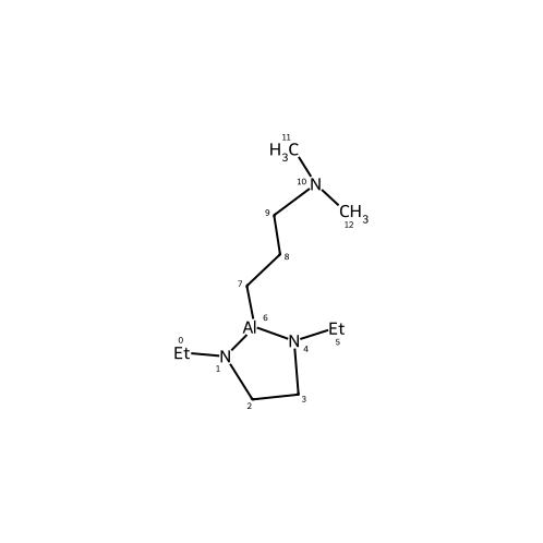 CC[N]1CC[N](CC)[Al]1[CH2]CCN(C)C